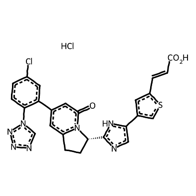 Cl.O=C(O)C=Cc1cc(-c2cnc([C@@H]3CCc4cc(-c5cc(Cl)ccc5-n5cnnn5)cc(=O)n43)[nH]2)cs1